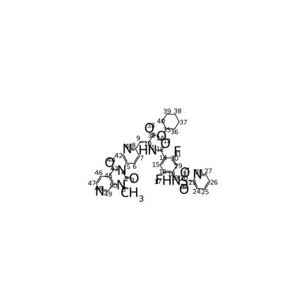 Cn1c(=O)n(-c2ccc(C[C@H](NC(=O)c3cc(F)c(NS(=O)(=O)c4ccccn4)cc3F)C(=O)OC3CCCCC3)nc2)c(=O)c2ccncc21